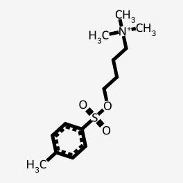 Cc1ccc(S(=O)(=O)OCCCC[N+](C)(C)C)cc1